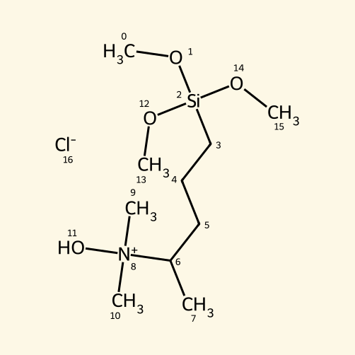 CO[Si](CCCC(C)[N+](C)(C)O)(OC)OC.[Cl-]